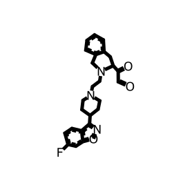 O=CC(=O)C1Cc2ccccc2CN1CCN1CCC(c2noc3cc(F)ccc23)CC1